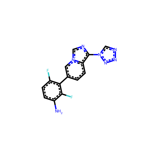 Nc1ccc(F)c(-c2ccc3c(-n4cnnn4)ncn3c2)c1F